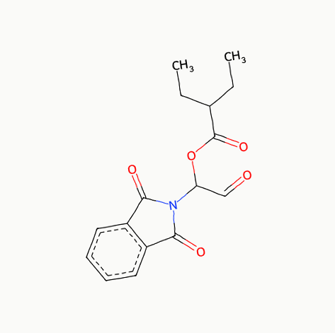 CCC(CC)C(=O)OC(C=O)N1C(=O)c2ccccc2C1=O